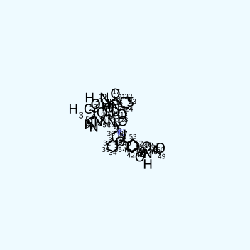 CC(C)(O)c1cnnn1[C@H]1C[C@@H](C(=O)NC2(C(=O)C(N)=O)CCSCC2)N(C(=O)/C(CC2CCCCC2)=N/C(=O)c2ccc(S(=O)(=O)NC3COC3)cc2)C1